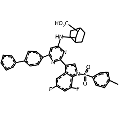 Cc1ccc(S(=O)(=O)n2cc(-c3nc(NC4C5CCC(CC5)C4C(=O)O)cc(-c4ccc(-c5ccccc5)cc4)n3)c3cc(F)cc(F)c32)cc1